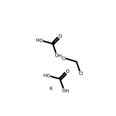 ClCCl.O=C(O)O.O=C(O)O.[K]